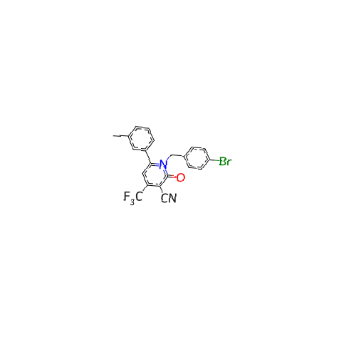 Cc1cccc(-c2cc(C(F)(F)F)c(C#N)c(=O)n2Cc2ccc(Br)cc2)c1